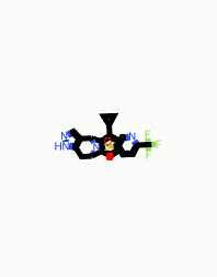 O=S(=O)(c1ccc(C(F)(F)F)nc1)N1C2Cc3[nH]ncc3C1c1c(C3CC3)cccc12